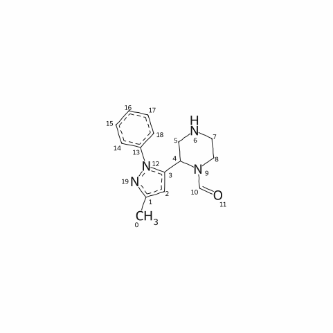 Cc1cc(C2CNCCN2C=O)n(-c2ccccc2)n1